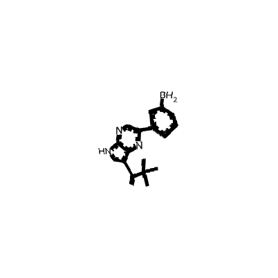 Bc1cccc(-c2cnc3[nH]cc(C(=C)C(C)(C)C)c3n2)c1